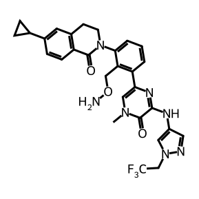 Cn1cc(-c2cccc(N3CCc4cc(C5CC5)ccc4C3=O)c2CON)nc(Nc2cnn(CC(F)(F)F)c2)c1=O